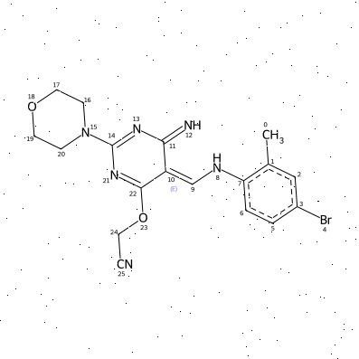 Cc1cc(Br)ccc1N/C=C1\C(=N)N=C(N2CCOCC2)N=C1OCC#N